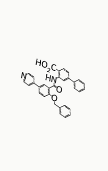 O=C(O)c1ccc(-c2ccccc2)cc1NC(=O)c1cc(-c2ccncc2)ccc1OCc1ccccc1